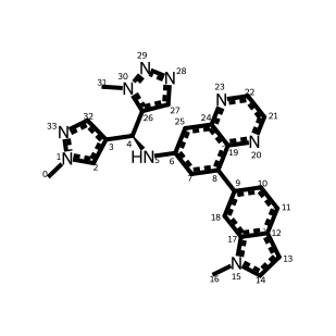 Cn1cc([C@H](Nc2cc(-c3ccc4ccn(C)c4c3)c3nccnc3c2)c2cnnn2C)cn1